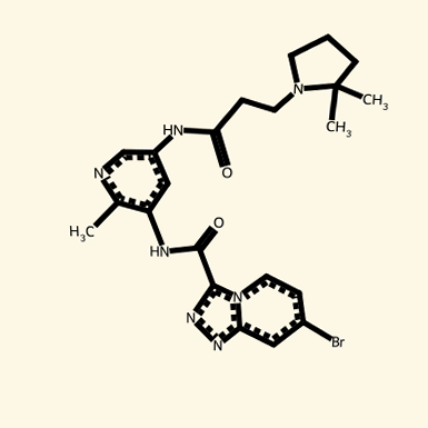 Cc1ncc(NC(=O)CCN2CCCC2(C)C)cc1NC(=O)c1nnc2cc(Br)ccn12